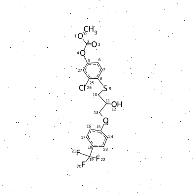 COC(=O)Oc1ccc(SCC(O)COc2ccc(C(F)(F)F)cc2)c(Cl)c1